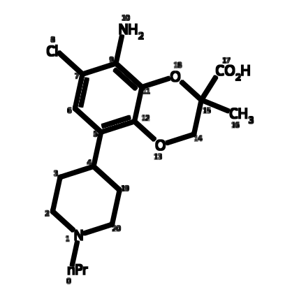 CCCN1CCC(c2cc(Cl)c(N)c3c2OCC(C)(C(=O)O)O3)CC1